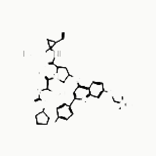 C=CC1CC1(NC(=O)C1CC(Oc2cc(-c3ccc(C)cc3)nc3cc(OCP(C)(C)=O)ccc23)CN1C(=O)C(NC(=O)OC1CCCC1)C(C)(C)C)C(=O)O